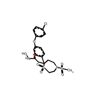 CS(=O)(=O)N1CCC(CC(=O)NO)(c2ccc(Oc3ccc(Cl)cc3)cc2)S(=O)(=O)CC1